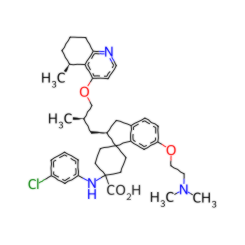 C[C@@H](COc1ccnc2c1[C@@H](C)CCC2)C[C@H]1Cc2ccc(OCCN(C)C)cc2C12CCC(Nc1cccc(Cl)c1)(C(=O)O)CC2